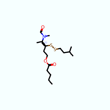 CCCCC(=O)OCC/C(SSCCC(C)C)=C(\C)N(C)C=O